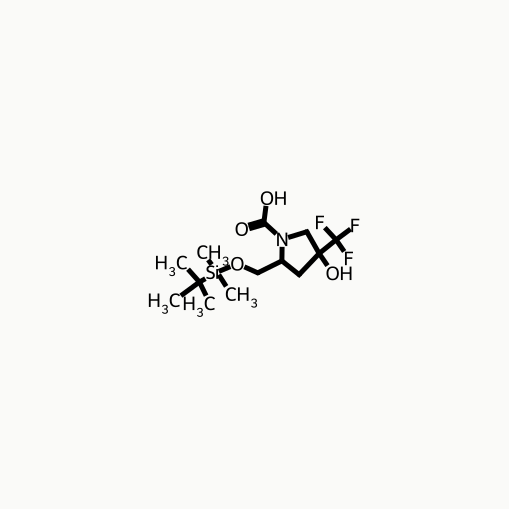 CC(C)(C)[Si](C)(C)OCC1CC(O)(C(F)(F)F)CN1C(=O)O